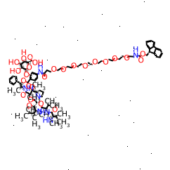 CC[C@H](C)[C@@H]([C@@H](CC(=O)N1CCC[C@H]1[C@H](OC)[C@@H](C)C(=O)N[C@H](C)[C@@H](OC(=O)c1ccc(NC(=O)CCOCCOCCOCCOCCOCCOCCOCCOCCNC(=O)OCC2c3ccccc3-c3ccccc32)cc1O[C@@H]1O[C@H](C(=O)O)[C@@H](O)[C@H](O)[C@H]1O)c1ccccc1)OC)N(C)C(=O)[C@@H](NC(=O)[C@@H](NC)C(C)C)C(C)C